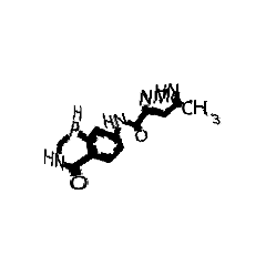 CN/C(=C\C(C)=N)C(=O)Nc1ccc2c(c1)PCNC2=O